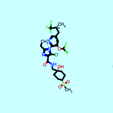 CCc1nc(C(=O)NC[C@]2(O)CC[C@H](S(C)(=O)=O)CC2)c(Cl)n1-c1ncc(C[C@@H](C)C(F)(F)F)cc1OC(F)F